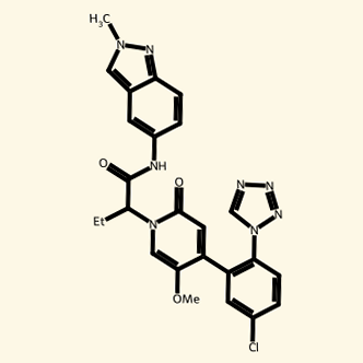 CCC(C(=O)Nc1ccc2nn(C)cc2c1)n1cc(OC)c(-c2cc(Cl)ccc2-n2cnnn2)cc1=O